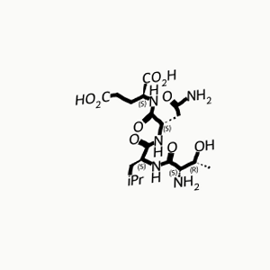 CC(C)C[C@H](NC(=O)[C@@H](N)[C@@H](C)O)C(=O)N[C@@H](CC(N)=O)C(=O)N[C@@H](CCC(=O)O)C(=O)O